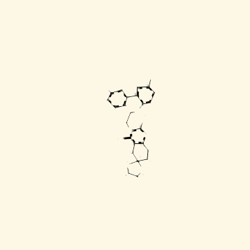 CCOC(=O)c1cccc(-c2cc(Cl)ccc2OCCn2c(C)nc3c(c2=O)CC2(CC3)OCCO2)c1